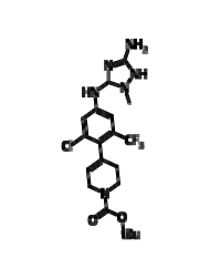 CN1NC(N)=NC1Nc1cc(Cl)c(C2=CCN(C(=O)OC(C)(C)C)CC2)c(C(F)(F)F)c1